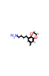 Cc1cc(CCCCN)c2c(c1)OCCO2